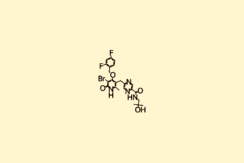 Cc1[nH]c(=O)c(Br)c(OCc2ccc(F)cc2F)c1Cc1cnc(C(=O)NCC(C)(C)O)cn1